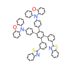 c1cc(-c2nc3ccccc3s2)cc(-c2cc(-c3ccc(N4c5ccccc5Oc5ccccc54)cc3)c(-c3ccc(N4c5ccccc5Oc5ccccc54)cc3)cc2-c2cccc(-c3nc4ccccc4s3)c2)c1